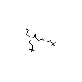 C=CCN(CCC(C)(C)C)C(=O)CCSCC(C)(C)C